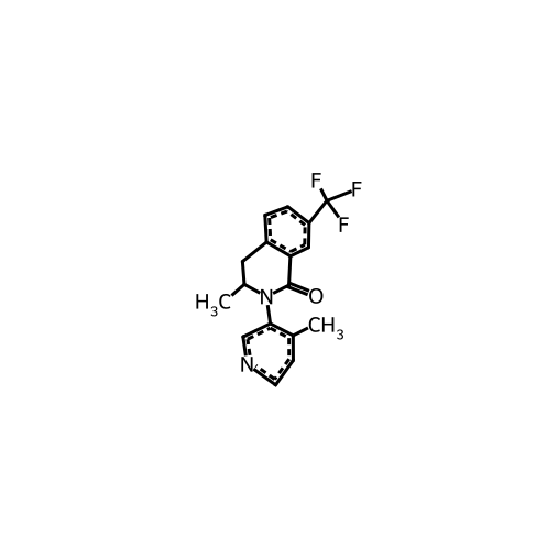 Cc1ccncc1N1C(=O)c2cc(C(F)(F)F)ccc2CC1C